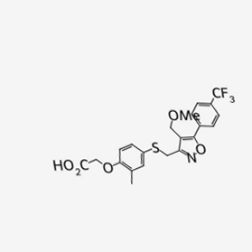 COCc1c(CSc2ccc(OCC(=O)O)c(C)c2)noc1-c1ccc(C(F)(F)F)cc1